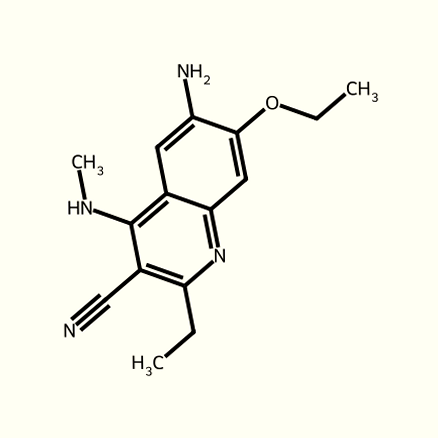 CCOc1cc2nc(CC)c(C#N)c(NC)c2cc1N